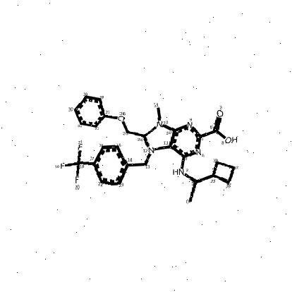 CC(Nc1nc(C(=O)O)nc2c1N(Cc1ccc(C(F)(F)F)cc1)C(COc1ccccc1)N2C)C1CCC1